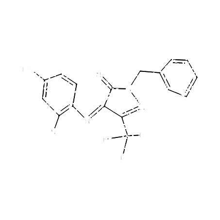 N=C1C(=Nc2ccc(O)cc2N)C(C(F)(F)F)=NN1Cc1ccccc1